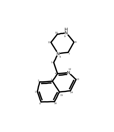 c1ccc2c(CN3CCNCC3)nccc2c1